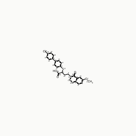 COc1ccc2nnn(CCC(Sc3ccc(-c4ccc(Cl)cc4)cc3)C(=O)O)c(=O)c2c1